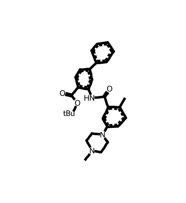 Cc1ccc(N2CCN(C)CC2)cc1C(=O)Nc1cc(-c2ccccc2)ccc1C(=O)OC(C)(C)C